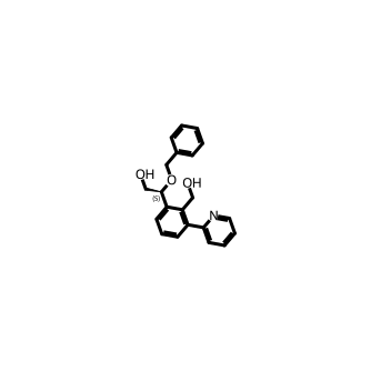 OCc1c(-c2ccccn2)cccc1[C@@H](CO)OCc1ccccc1